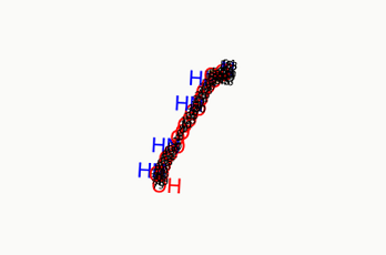 O=C(CCOCCOCCOCCOCCOCCC(=O)NCCOCCOCCOCCNS(=O)(=O)c1ccc(O[C@H]2c3ccccc3C[C@@H]2N2CCCCC2)cc1)NCCOCCOCCOCCNS(=O)(=O)c1ccc(O)cc1